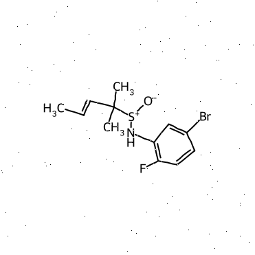 CC=CC(C)(C)[S+]([O-])Nc1cc(Br)ccc1F